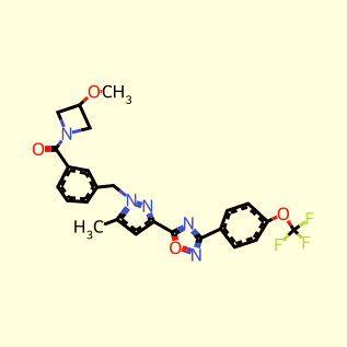 COC1CN(C(=O)c2cccc(Cn3nc(-c4nc(-c5ccc(OC(F)(F)F)cc5)no4)cc3C)c2)C1